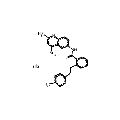 Cc1ccc(OCc2ccccc2C(=O)Nc2ccc3nc(C)cc(N)c3c2)cc1.Cl